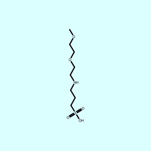 COCCOCCNCCCS(=O)(=O)O